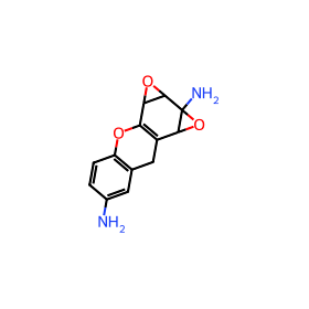 Nc1ccc2c(c1)CC1=C(O2)C2OC2C2(N)OC12